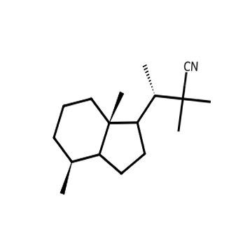 C[C@H]1CCC[C@@]2(C)C1CCC2[C@H](C)C(C)(C)C#N